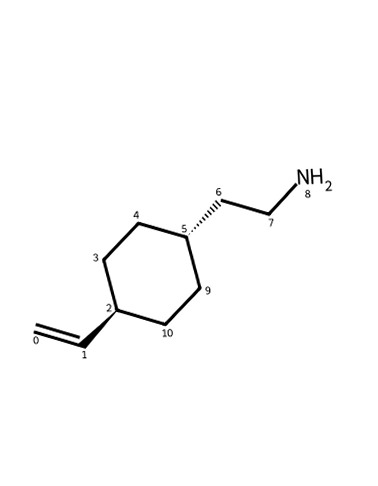 C=C[C@H]1CC[C@H](CCN)CC1